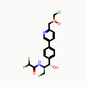 O=C(N[C@H](CF)[C@@H](O)c1ccc(-c2ccc(C[S+]([O-])CCl)nc2)cc1)C(F)F